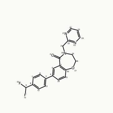 O=C1c2cc(-c3ccc(C(F)F)cc3)ccc2OCCN1Cc1ncccn1